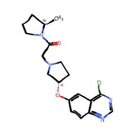 C[C@@H]1CCCN1C(=O)CN1CC[C@H](Oc2ccc3ncnc(Cl)c3c2)C1